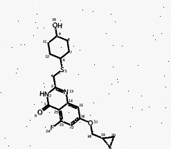 O=c1[nH]c(CSC2CCC(O)CC2)nc2cc(OCC3CC3)cc(F)c12